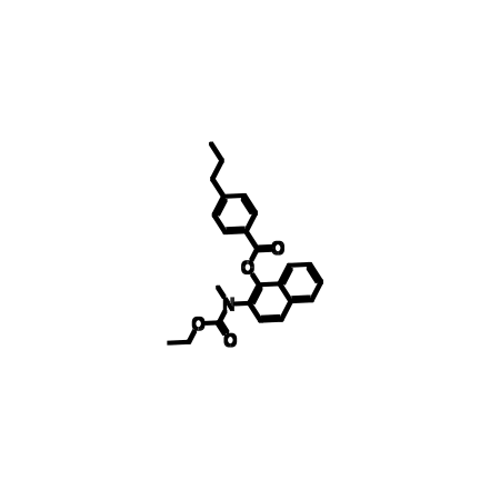 CCCc1ccc(C(=O)Oc2c(N(C)C(=O)OCC)ccc3ccccc23)cc1